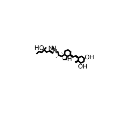 C=C1/C(=C\C=C2CCC[C@]3(C)[C@@H]([C@H](C)Cn4cc(CC(C)(O)CCC)nn4)CC[C@@H]23)C[C@H](O)C[C@H]1O